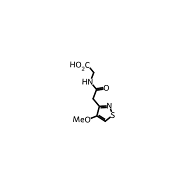 COc1csnc1CC(=O)NCC(=O)O